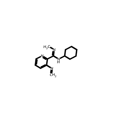 C=Nc1cccnc1/C(=N\C)NC1CCCCC1